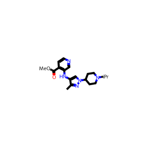 COC(=O)c1ccncc1Nc1cn(C2CCN(C(C)C)CC2)nc1C